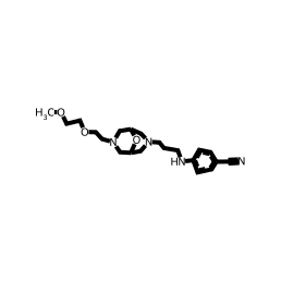 COCCOCCN1CC2CN(CCCNc3ccc(C#N)cc3)CC(C1)O2